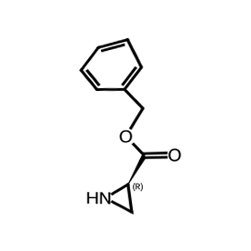 O=C(OCc1ccccc1)[C@H]1CN1